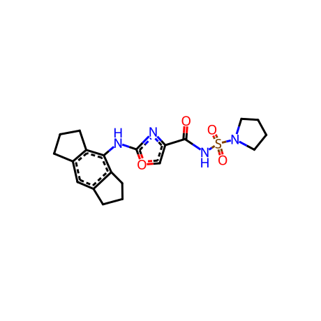 O=C(NS(=O)(=O)N1CCCC1)c1coc(Nc2c3c(cc4c2CCC4)CCC3)n1